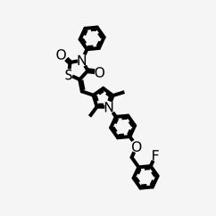 Cc1cc(/C=C2/SC(=O)N(c3ccccc3)C2=O)c(C)n1-c1ccc(OCc2ccccc2F)cc1